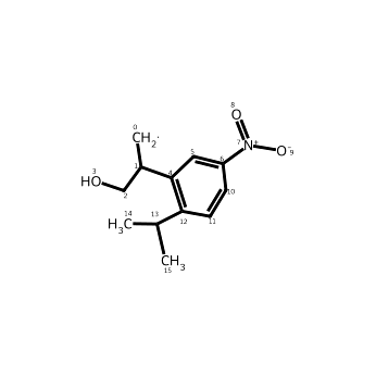 [CH2]C(CO)c1cc([N+](=O)[O-])ccc1C(C)C